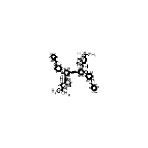 CC(C)c1ccc2c(Nc3cc(C#Cc4ccc(Sc5ccc(OCc6ccccc6)cc5)c(Nc5ncnc6nc(C(C)C)ccc56)c4)ccc3Oc3ccc(OCc4ccccc4)cc3)ncnc2n1